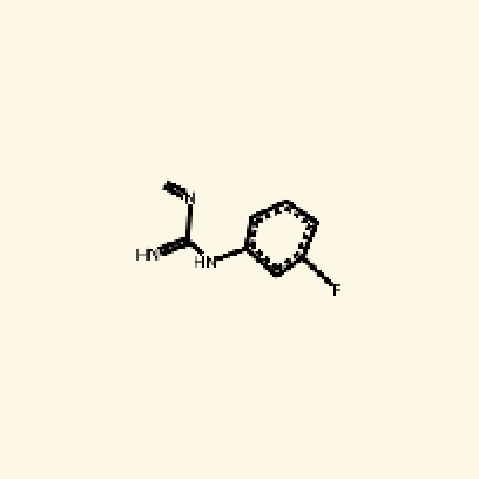 C=NC(=N)Nc1cccc(F)c1